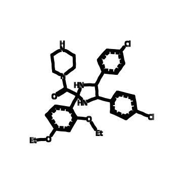 CCOc1ccc(C2(C(=O)N3CCNCC3)NC(c3ccc(Cl)cc3)C(c3ccc(Cl)cc3)N2)c(OCC)c1